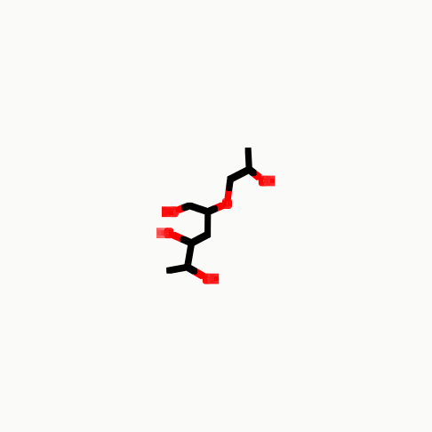 CC(O)COC(CO)CC(O)C(C)O